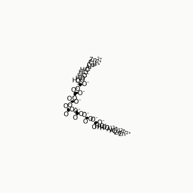 O.O=C([O-])[O-].O=C([O-])[O-].O=C([O-])[O-].O=C([O-])[O-].O=C([O-])[O-].O=C([O-])[O-].O=C([O-])[O-].[Al+3].[Al+3].[Al+3].[Cu+2].[Cu+2].[Cu+2].[OH-].[OH-].[OH-].[OH-].[OH-].[OH-].[OH-].[Zn+2].[Zn+2].[Zn+2]